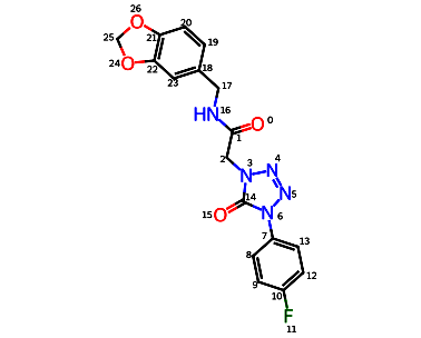 O=C(Cn1nnn(-c2ccc(F)cc2)c1=O)NCc1ccc2c(c1)OCO2